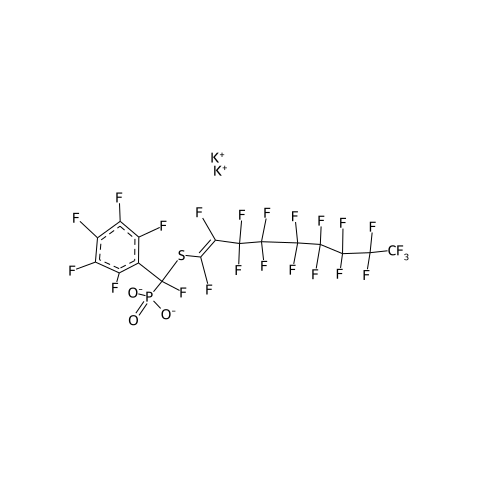 O=P([O-])([O-])C(F)(SC(F)=C(F)C(F)(F)C(F)(F)C(F)(F)C(F)(F)C(F)(F)C(F)(F)C(F)(F)F)c1c(F)c(F)c(F)c(F)c1F.[K+].[K+]